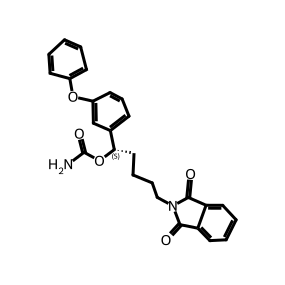 NC(=O)O[C@@H](CCCCN1C(=O)c2ccccc2C1=O)c1cccc(Oc2ccccc2)c1